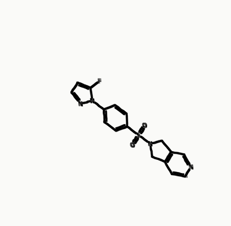 O=S(=O)(c1ccc(-n2nccc2F)cc1)N1Cc2c[c]ncc2C1